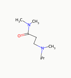 CC(C)N(C)CCC(=O)N(C)C